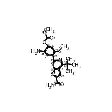 COC(=O)Oc1cc(SC)c(-c2nc(C(C)(C)C)c3cc(C(N)=O)sc3n2)cc1N